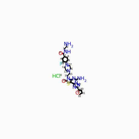 Cl.NCCNC(=O)c1ccc(N2CCN(CCn3c(=O)sc4c3nc(N)n3nc(-c5ccco5)nc43)CC2)c(F)c1